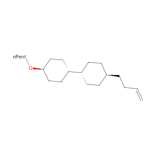 C=CCC[C@H]1CC[C@H]([C@H]2CC[C@H](OCCCCC)CC2)CC1